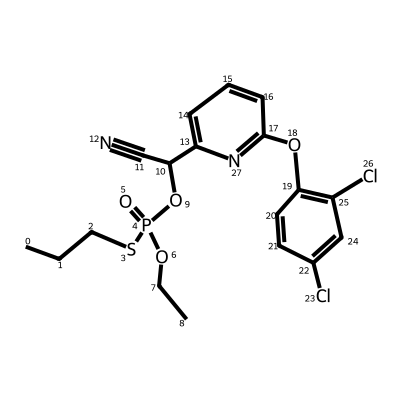 CCCSP(=O)(OCC)OC(C#N)c1cccc(Oc2ccc(Cl)cc2Cl)n1